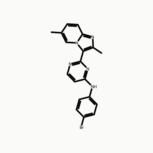 Cc1ccc2nc(C)c(-c3nccc(Nc4ccc(Br)cc4)n3)n2c1